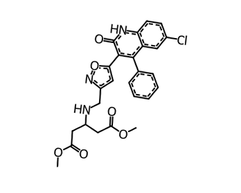 COC(=O)CC(CC(=O)OC)NCc1cc(-c2c(-c3ccccc3)c3cc(Cl)ccc3[nH]c2=O)on1